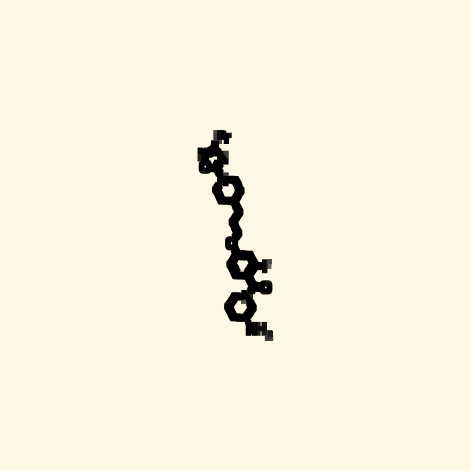 CC(C)c1noc(N2CCC(CCCOc3ccc(C(=O)N4CCC[C@@H](N)C4)c(F)c3)CC2)n1